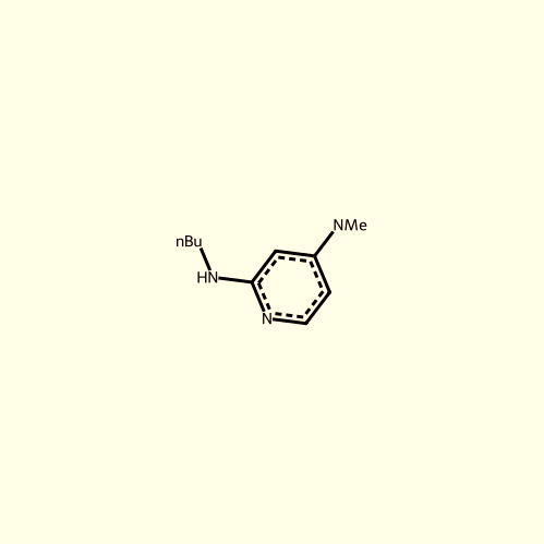 CCCCNc1cc(NC)ccn1